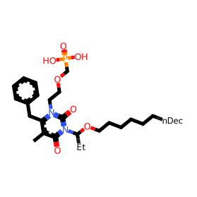 CCCCCCCCCCCCCCCCOC(CC)n1c(=O)c(C)c(Cc2ccccc2)n(CCOCP(=O)(O)O)c1=O